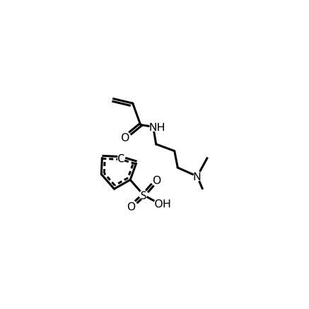 C=CC(=O)NCCCN(C)C.O=S(=O)(O)c1ccccc1